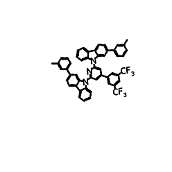 Cc1cccc(-c2ccc3c4ccccc4n(-c4cc(-c5cc(C(F)(F)F)cc(C(F)(F)F)c5)cc(-n5c6ccccc6c6ccc(-c7cccc(C)c7)cc65)n4)c3c2)c1